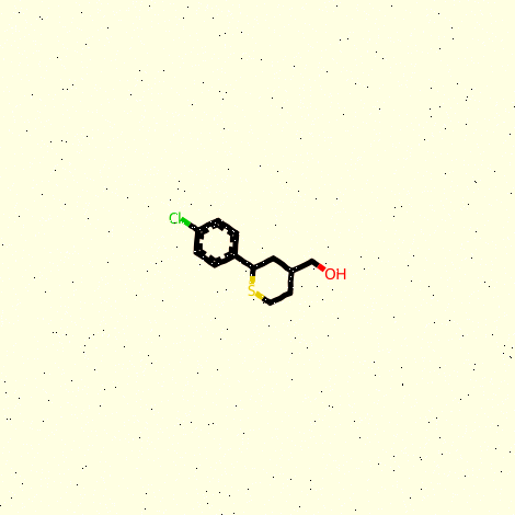 OCC1CCSC(c2ccc(Cl)cc2)C1